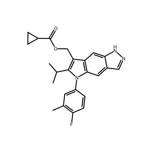 Cc1cc(-n2c(C(C)C)c(COC(=O)C3CC3)c3cc4[nH]ncc4cc32)ccc1F